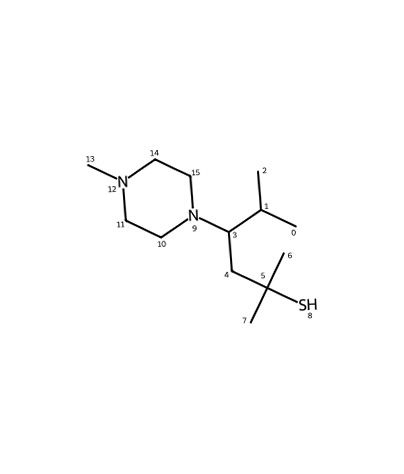 CC(C)C(CC(C)(C)S)N1CCN(C)CC1